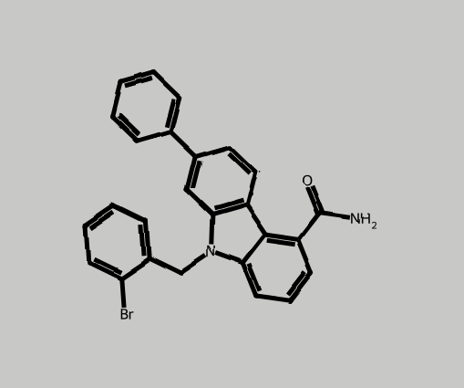 NC(=O)c1cccc2c1c1[c]cc(-c3ccccc3)cc1n2Cc1ccccc1Br